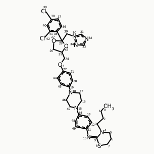 CCCCN1CCCSC1=Nc1ccc(N2CCN(c3ccc(OCC4COC(Cn5cncn5)(c5ccc(Cl)cc5Cl)O4)cc3)CC2)cc1